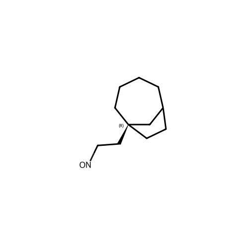 O=NCC[C@]12CCCCC(CC1)C2